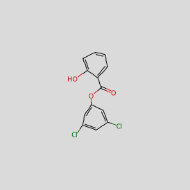 O=C(Oc1cc(Cl)cc(Cl)c1)c1ccccc1O